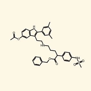 CC(=O)Oc1ccc2[nH]c(-c3cc(C)cc(C)c3)c(CCNCCCC(C(=O)OCc3ccccc3)c3ccc(NS(C)(=O)=O)cc3)c2c1